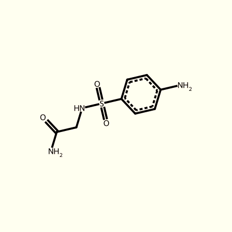 NC(=O)CNS(=O)(=O)c1ccc(N)cc1